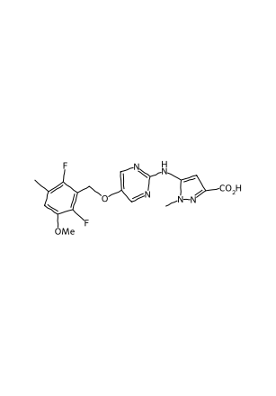 COc1cc(C)c(F)c(COc2cnc(Nc3cc(C(=O)O)nn3C)nc2)c1F